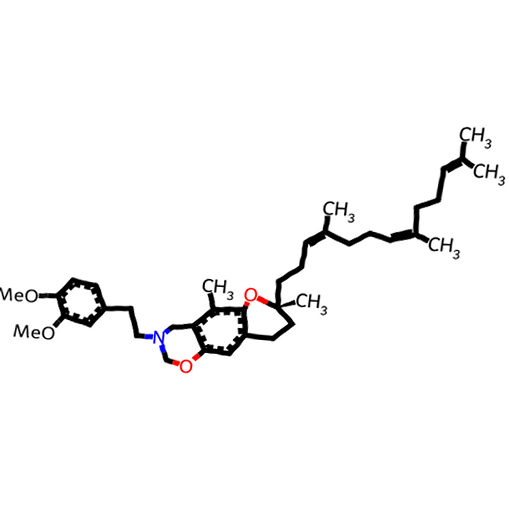 COc1ccc(CCN2COc3cc4c(c(C)c3C2)O[C@](C)(CCC=C(C)CCC=C(C)CCC=C(C)C)CC4)cc1OC